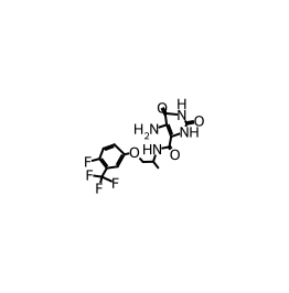 CC(COc1ccc(F)c(C(F)(F)F)c1)NC(=O)c1[nH]c(=O)[nH]c(=O)c1N